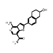 NC(=O)c1cnc(N)c2cc(-c3ccc4c(c3)CCC(O)C4)sc12